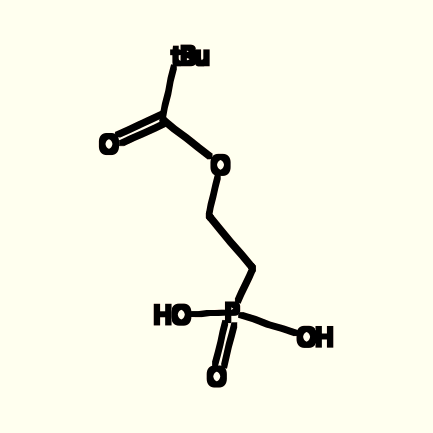 CC(C)(C)C(=O)OCCP(=O)(O)O